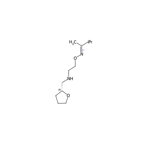 C/C(=N\OCCNC[C@H]1CCCO1)C(C)C